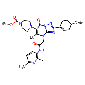 CCc1c(N2CCN(C(=O)OC(C)(C)C)CC2)c(=O)n2nc(C3=CCC(OC)CC3)nc2n1CC(=O)Nc1ccc(C(F)(F)F)nc1C